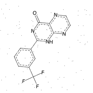 O=c1nc(-c2cccc(C(F)(F)F)c2)[nH]c2nccnc12